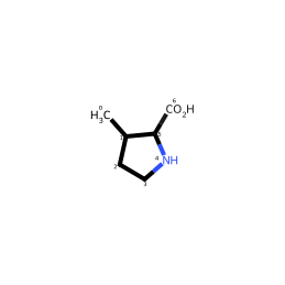 CC1CCNC1C(=O)O